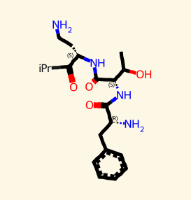 CC(C)C(=O)[C@H](CCN)NC(=O)[C@@H](NC(=O)[C@H](N)Cc1ccccc1)C(C)O